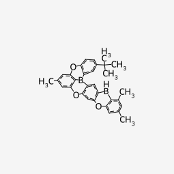 Cc1cc(C)c2c(c1)Oc1cc3c(cc1B2)B1c2cc(C(C)(C)C)ccc2Oc2cc(C)cc(c21)O3